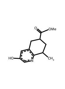 COC(=O)C1Cc2cc(O)cnc2C(C)C1